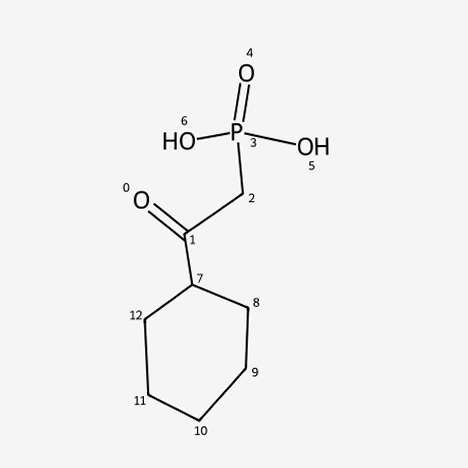 O=C(CP(=O)(O)O)C1CCCCC1